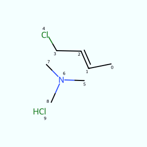 CC=CCCl.CN(C)C.Cl